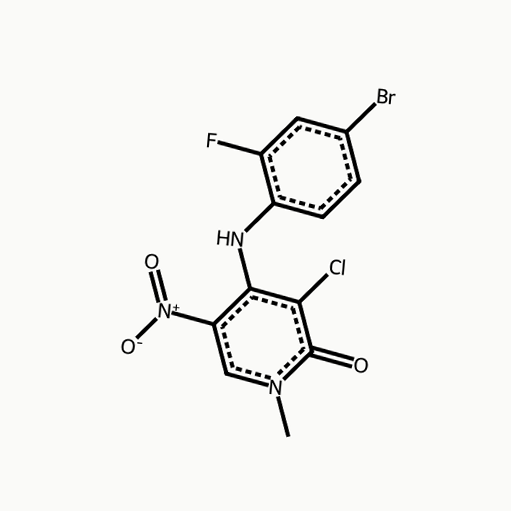 Cn1cc([N+](=O)[O-])c(Nc2ccc(Br)cc2F)c(Cl)c1=O